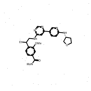 CCC(CNc1cc(-c2ccc(N[C@@H]3CCOC3)nc2)ncn1)c1ccc(C(=O)NC)cc1OC